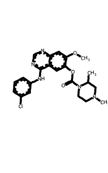 COc1cc2ncnc(Nc3cccc(Cl)c3)c2cc1OC(=O)N1CCN(C)CC1C